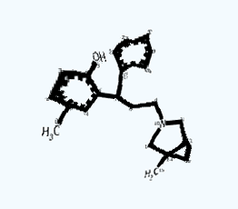 Cc1ccc(O)c(C(CCN2CC3CC3(C)C2)c2ccccc2)c1